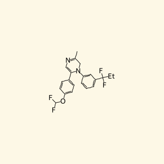 CCC(F)(F)c1cccc(N2CC(C)=NC=C2c2ccc(OC(F)F)cc2)c1